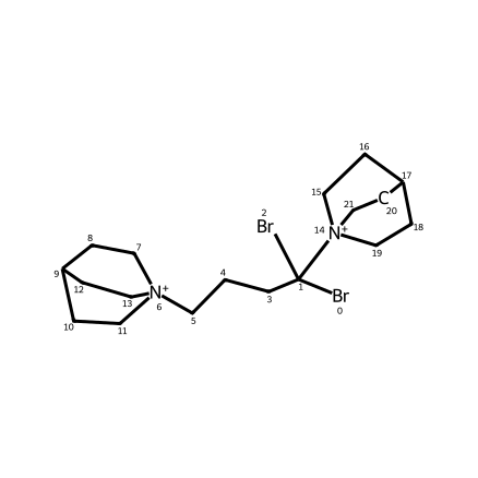 BrC(Br)(CCC[N+]12CCC(CC1)CC2)[N+]12CCC(CC1)CC2